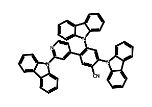 N#Cc1cc(-c2ccnc(-n3c4ccccc4c4ccccc43)c2)c(-n2c3ccccc3c3ccccc32)cc1-n1c2ccccc2c2ccccc21